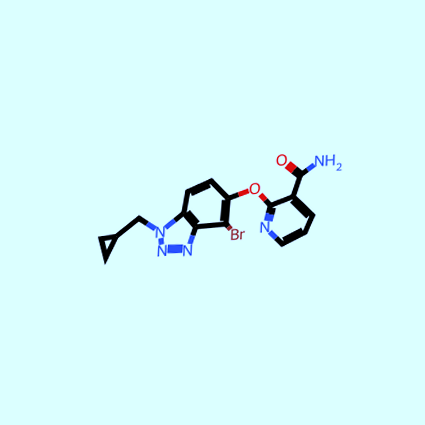 NC(=O)c1cccnc1Oc1ccc2c(nnn2CC2CC2)c1Br